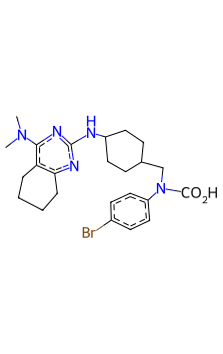 CN(C)c1nc(NC2CCC(CN(C(=O)O)c3ccc(Br)cc3)CC2)nc2c1CCCC2